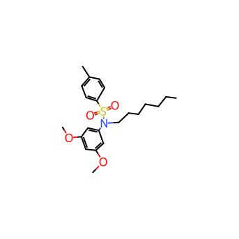 CCCCCCCN(c1cc(OC)cc(OC)c1)S(=O)(=O)c1ccc(C)cc1